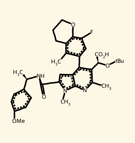 COc1ccc([C@@H](C)NC(=O)c2cc3c(-c4cc(F)c5c(c4C)CCCO5)c([C@H](OC(C)(C)C)C(=O)O)c(C)nc3n2C)cc1